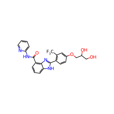 O=C(Nc1ccccn1)c1cccc2[nH]c(-c3ccc(OCC(O)CO)cc3C(F)(F)F)nc12